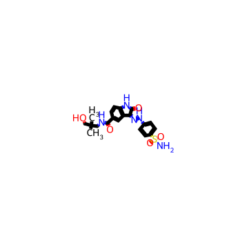 CC(C)(CO)CNC(=O)c1ccc2c(c1)C(=NNc1ccc(S(N)(=O)=O)cc1)C(=O)N2